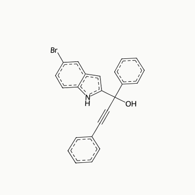 OC(C#Cc1ccccc1)(c1ccccc1)c1cc2cc(Br)ccc2[nH]1